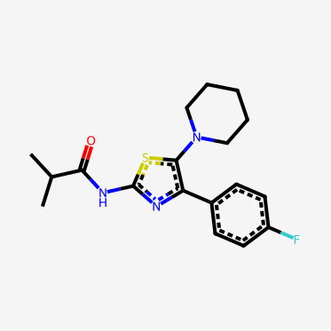 CC(C)C(=O)Nc1nc(-c2ccc(F)cc2)c(N2CCCCC2)s1